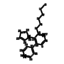 CCCCCCc1nccc(-c2ccncc2)c1-n1cccc1